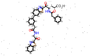 O=C(O)CC[C@H](NC(=O)Cc1ccccc1)C(=O)c1nc2ccc(-c3cccc(CC(=O)NCC(=O)c4nc5ccccc5s4)c3)cc2s1